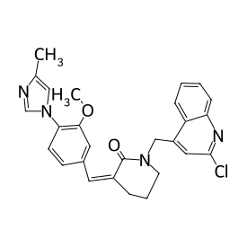 COc1cc(C=C2CCCN(Cc3cc(Cl)nc4ccccc34)C2=O)ccc1-n1cnc(C)c1